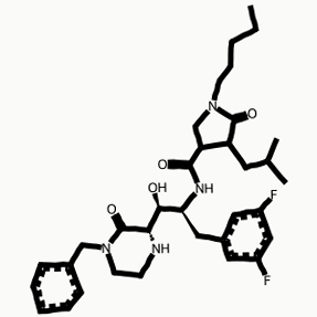 CCCCCN1CC(C(=O)N[C@@H](Cc2cc(F)cc(F)c2)[C@H](O)[C@@H]2NCCN(Cc3ccccc3)C2=O)C(CC(C)C)C1=O